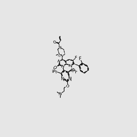 C=CC(=O)N1CCN(c2nc(=O)n(-c3c(C(C)C)nc(OCCN(C)C)nc3C(C)C)c3nc(-c4ccccc4F)c(F)cc23)[C@@H](C)C1